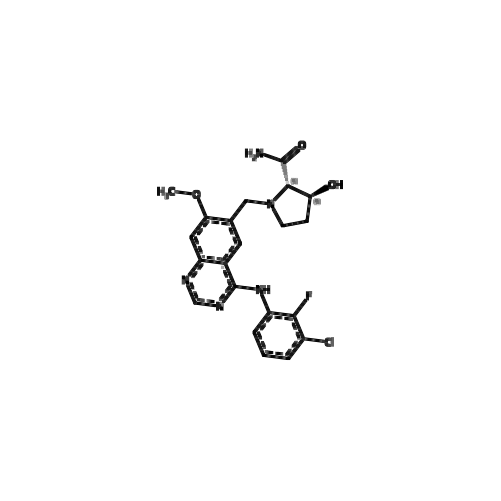 COc1cc2ncnc(Nc3cccc(Cl)c3F)c2cc1CN1CC[C@H](O)[C@H]1C(N)=O